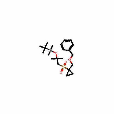 CC(C)(CS(=O)(=O)C1(COCc2ccccc2)CC1)O[Si](C)(C)C(C)(C)C